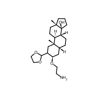 C[C@]12CC(C3OCCO3)[C@H](OCCN)C[C@H]1CC[C@@H]1[C@@H]2CC[C@]2(C)CCC[C@]12O